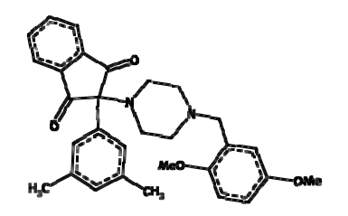 COc1ccc(OC)c(CN2CCN(C3(c4cc(C)cc(C)c4)C(=O)c4ccccc4C3=O)CC2)c1